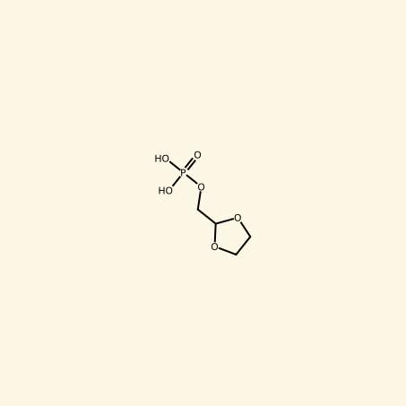 O=P(O)(O)OCC1OCCO1